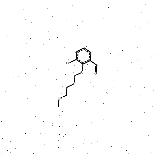 COCCOCOc1c(Br)cccc1C=O